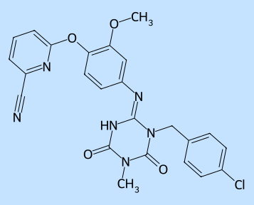 COc1cc(/N=c2\[nH]c(=O)n(C)c(=O)n2Cc2ccc(Cl)cc2)ccc1Oc1cccc(C#N)n1